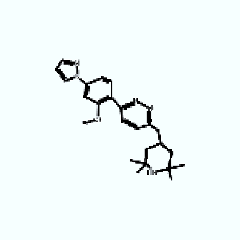 COc1cc(-n2cccn2)ccc1-c1ccc(CC2CC(C)(C)NC(C)(C)C2)nn1